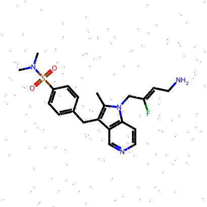 Cc1c(Cc2ccc(S(=O)(=O)N(C)C)cc2)c2cnccc2n1CC(F)=CCN